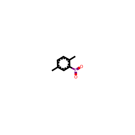 Cc1ccc(C)c(P(=O)=O)c1